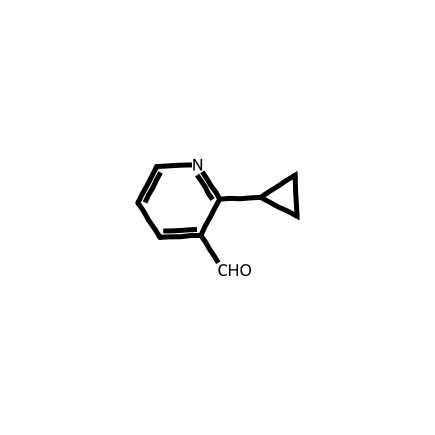 O=Cc1cccnc1C1CC1